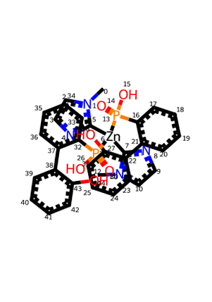 Cn1ccn[c]1[Zn]([c]1nccn1C)([P](=O)(O)c1ccccc1-c1ccccc1O)[P](=O)(O)c1ccccc1-c1ccccc1O